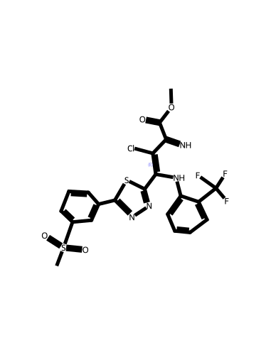 COC(=O)C(=N)/C(Cl)=C(\Nc1ccccc1C(F)(F)F)c1nnc(-c2cccc(S(C)(=O)=O)c2)s1